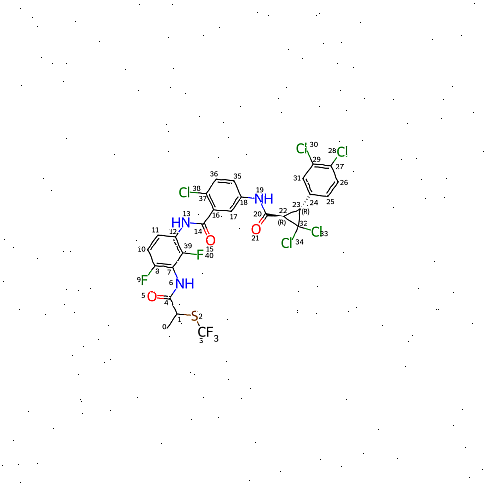 CC(SC(F)(F)F)C(=O)Nc1c(F)ccc(NC(=O)c2cc(NC(=O)[C@H]3[C@H](c4ccc(Cl)c(Cl)c4)C3(Cl)Cl)ccc2Cl)c1F